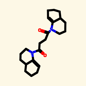 O=C(CCC(=O)N1CCCC2CCCC=C21)N1CCCC2CCCC=C21